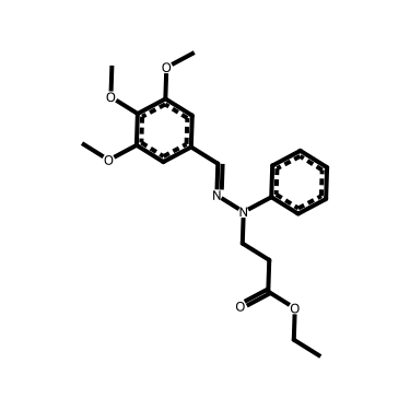 CCOC(=O)CCN(/N=C/c1cc(OC)c(OC)c(OC)c1)c1ccccc1